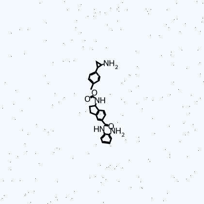 Nc1ccccc1NC(=O)c1ccc2c(c1)CCC2NC(=O)OCc1ccc(C2C[C@H]2N)cc1